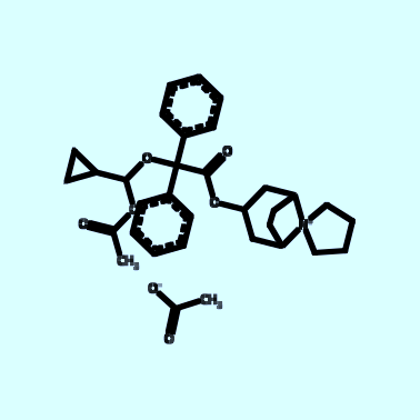 CC(=O)OC(OC(C(=O)OC1CC2CCC(C1)[N+]21CCCC1)(c1ccccc1)c1ccccc1)C1CC1.CC(=O)[O-]